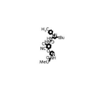 COCC(=O)Nc1cc(Oc2ccc(NC(=O)Nc3cc(C(C)(C)C)nn3-c3ccc(C)cc3)c(Cl)c2C#N)ccn1